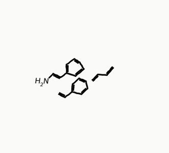 C=CC=C.C=Cc1ccccc1.NC=Cc1ccccc1